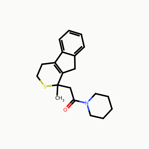 CC1(CC(=O)N2CCCCC2)SCCC2=C1Cc1ccccc12